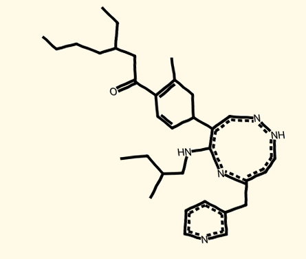 CCCCC(CC)CC(=O)C1=C(C)CC(c2cn[nH]ccc(Cc3cccnc3)nc2NCC(C)CC)C=C1